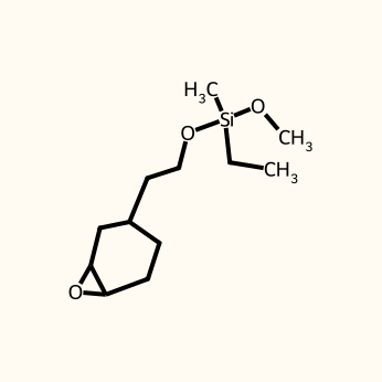 CC[Si](C)(OC)OCCC1CCC2OC2C1